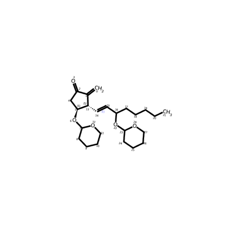 C=C1C(=O)C[C@H](OC2CCCCO2)[C@H]1/C=C/C(CCCCC)OC1CCCCO1